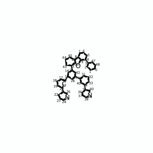 c1ccc(-c2cccc3c2oc2c(-c4cc(-c5cccc(-c6cccnc6)c5)cc(-c5cccc(-c6cccnc6)c5)c4)cccc23)cc1